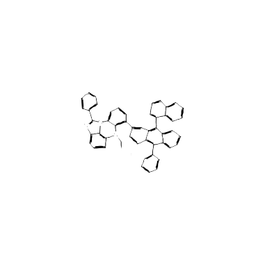 CCN1c2c(-c3ccc4c(-c5ccccc5)c5ccccc5c(-c5cccc6ccccc56)c4c3)cccc2-n2c(-c3ccccc3)nc3cccc1c32